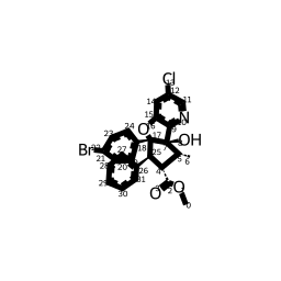 COC(=O)[C@H]1[C@@H](C)[C@@]2(O)c3ncc(Cl)cc3O[C@@]2(c2ccc(Br)cc2)[C@@H]1c1ccccc1